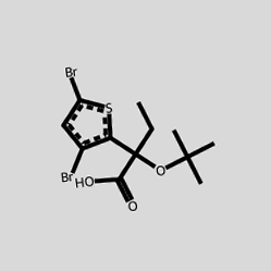 CCC(OC(C)(C)C)(C(=O)O)c1sc(Br)cc1Br